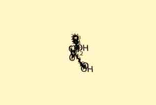 C=C1CC(=O)[C@H](CCCCCCC(=O)O)[C@H]1CC[C@@H](O)c1cc2ccccc2s1